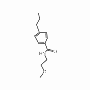 CCCc1ccc(C(=O)NCCOC)cc1